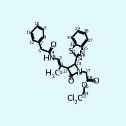 CC(=CNC(=O)Cc1ccccc1)C1C(=O)N(CC(=O)OCC(Cl)(Cl)Cl)C1c1nc2ccccc2s1